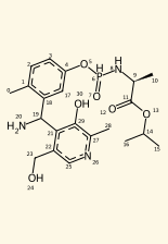 Cc1ccc(O[PH](=O)N[C@@H](C)C(=O)OC(C)C)cc1C(N)c1c(CO)cnc(C)c1O